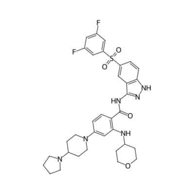 O=C(Nc1n[nH]c2ccc(S(=O)(=O)c3cc(F)cc(F)c3)cc12)c1ccc(N2CCC(N3CCCC3)CC2)cc1NC1CCOCC1